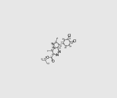 Cc1nn2c(C)c(C(=O)OC(C)C)nnc2c1-c1ccc(Cl)c(Cl)c1